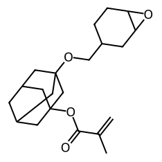 C=C(C)C(=O)OC12CC3CC(CC(OCC4CCC5OC5C4)(C3)C1)C2